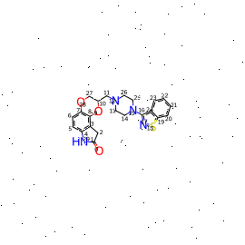 O=C1Cc2c(ccc3c2OC(CN2CCN(c4nsc5ccccc45)CC2)CO3)N1